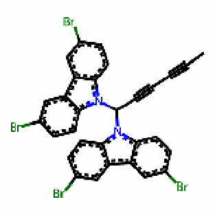 CC#CC#CC(n1c2ccc(Br)cc2c2cc(Br)ccc21)n1c2ccc(Br)cc2c2cc(Br)ccc21